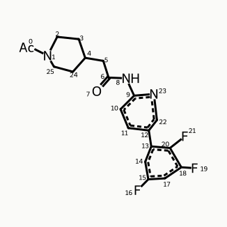 CC(=O)N1CCC(CC(=O)Nc2ccc(-c3cc(F)cc(F)c3F)cn2)CC1